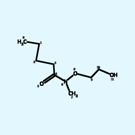 CCCCC(=O)N(C)OCCO